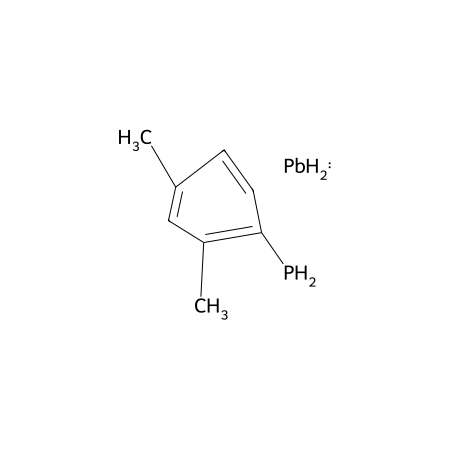 Cc1ccc(P)c(C)c1.[PbH2]